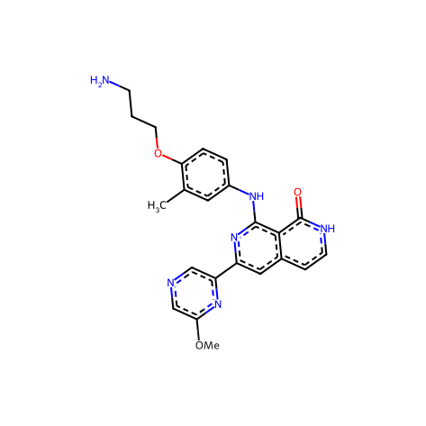 COc1cncc(-c2cc3cc[nH]c(=O)c3c(Nc3ccc(OCCCN)c(C)c3)n2)n1